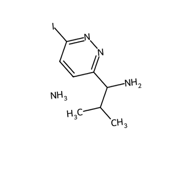 CC(C)C(N)c1ccc(I)nn1.N